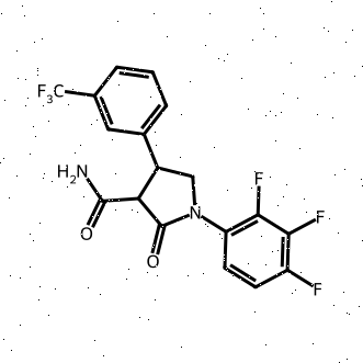 NC(=O)C1C(=O)N(c2ccc(F)c(F)c2F)CC1c1cccc(C(F)(F)F)c1